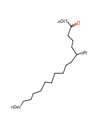 CCCCCCCCCCCCCCCCCCCCC(CCC)CCCC(=O)CCCCCCCC